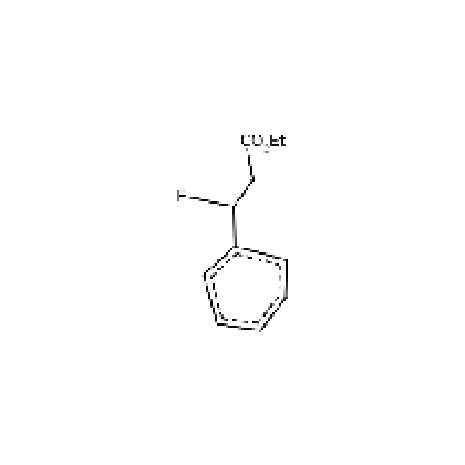 CCOC(=O)CC(F)c1ccccc1